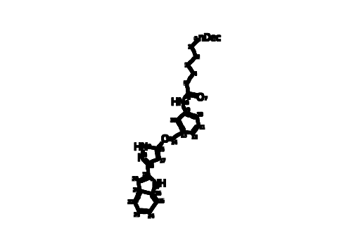 CCCCCCCCCCCCCCCC(=O)Nc1cccc(COc2cc(-c3cc4ccccc4[nH]3)n[nH]2)c1